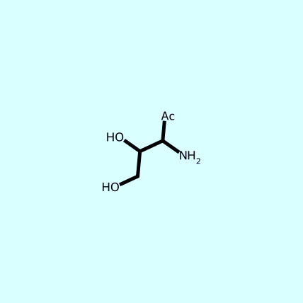 CC(=O)C(N)C(O)CO